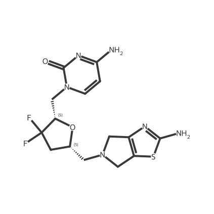 Nc1ccn(C[C@@H]2O[C@H](CN3Cc4nc(N)sc4C3)CC2(F)F)c(=O)n1